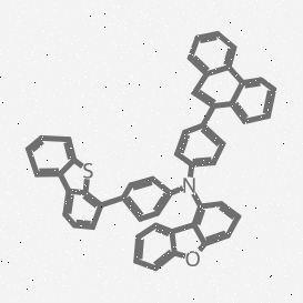 c1ccc2c(c1)cc(-c1ccc(N(c3ccc(-c4cccc5c4sc4ccccc45)cc3)c3cccc4oc5ccccc5c34)cc1)c1ccccc12